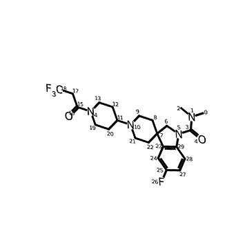 CN(C)C(=O)N1CC2(CCN(C3CCN(C(=O)CC(F)(F)F)CC3)CC2)c2cc(F)ccc21